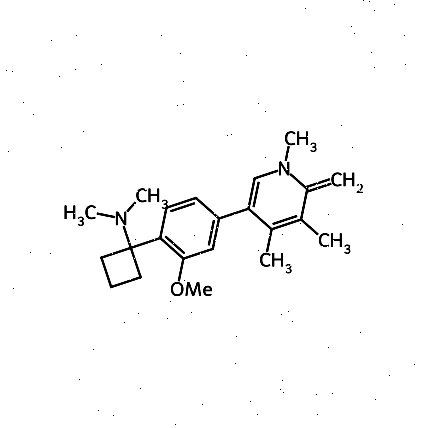 C=C1C(C)=C(C)C(c2ccc(C3(N(C)C)CCC3)c(OC)c2)=CN1C